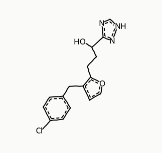 OC(CCc1occc1Cc1ccc(Cl)cc1)c1nc[nH]n1